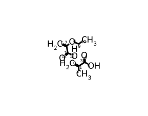 C=C(C)C(=O)O.C=C(OCC)C(=O)O